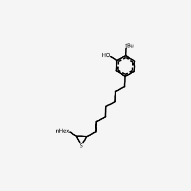 CCCCCCC1SC1CCCCCCCc1ccc(C(C)(C)C)c(O)c1